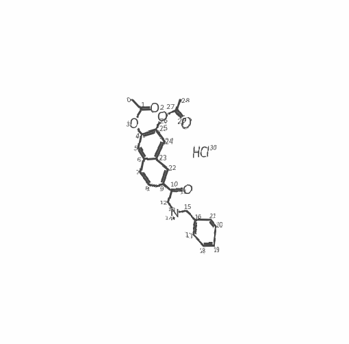 CC(=O)Oc1cc2ccc(C(=O)CN(C)Cc3ccccc3)cc2cc1OC(C)=O.Cl